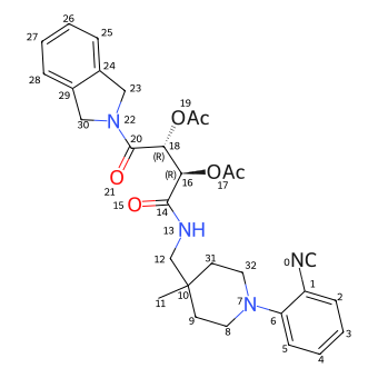 [C-]#[N+]c1ccccc1N1CCC(C)(CNC(=O)[C@H](OC(C)=O)[C@@H](OC(C)=O)C(=O)N2Cc3ccccc3C2)CC1